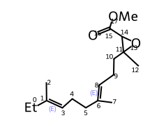 CC/C(C)=C/CC/C(C)=C/CCC1(C)OC1C(=O)OC